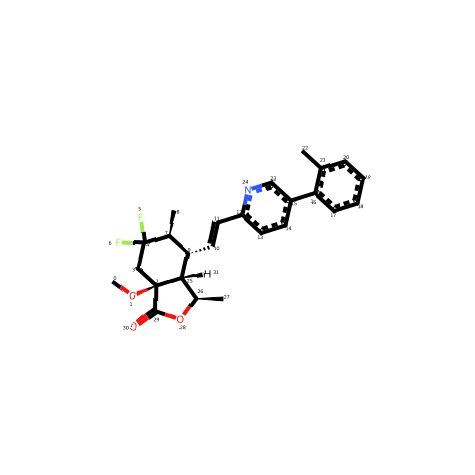 CO[C@@]12CC(F)(F)[C@@H](C)[C@H](/C=C/c3ccc(-c4ccccc4C)cn3)[C@@H]1[C@@H](C)OC2=O